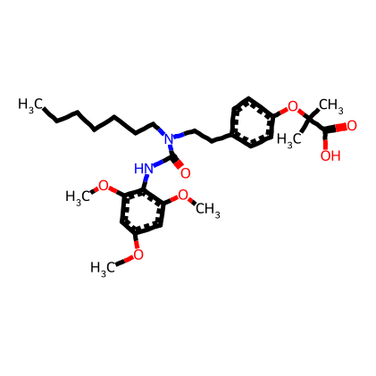 CCCCCCCN(CCc1ccc(OC(C)(C)C(=O)O)cc1)C(=O)Nc1c(OC)cc(OC)cc1OC